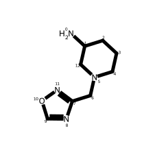 NC1CCCN(Cc2ncon2)C1